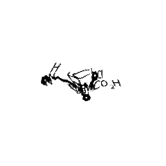 O=C(O)CC(NC[C@H](NC(=O)CCCCNc1ccccn1)C(=O)OCc1ccccc1)c1cc(Cl)cc(Cl)c1